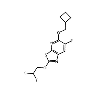 Fc1cc2nc(OCC(F)F)sc2nc1OCC1CCC1